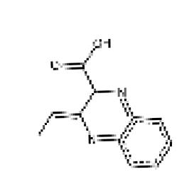 CC=C1N=c2ccccc2=NC1C(=O)O